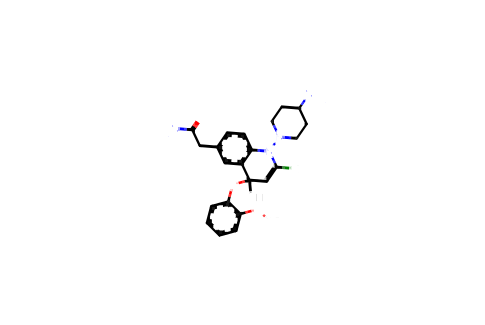 CC1(Oc2ccccc2OC(F)(F)F)C=C(Cl)N(N2CCC(N)CC2)c2ccc(CC(N)=O)cc21